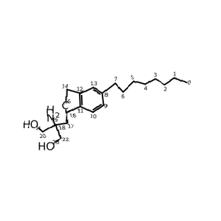 CCCCCCCCc1ccc2c(c1)CC[C@@H]2CC(N)(CO)CO